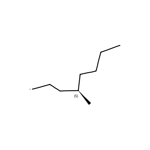 [CH2]CC[C@H](C)CCCC